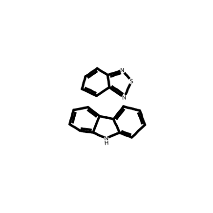 c1ccc2c(c1)[nH]c1ccccc12.c1ccc2nsnc2c1